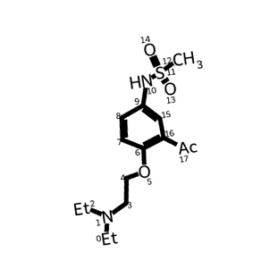 CCN(CC)CCOc1ccc(NS(C)(=O)=O)cc1C(C)=O